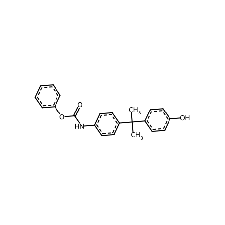 CC(C)(c1ccc(O)cc1)c1ccc(NC(=O)Oc2ccccc2)cc1